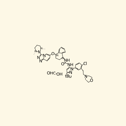 C[C@@H]1CCC[C@H](C)N1c1nnc2ccc(O[C@@H]3CC[C@H](NC(=O)Nc4cc(C(C)(C)C)nn4-c4ccc(Cl)c(CCN5CCOCC5)c4)c4ccccc43)cn12.O=CO